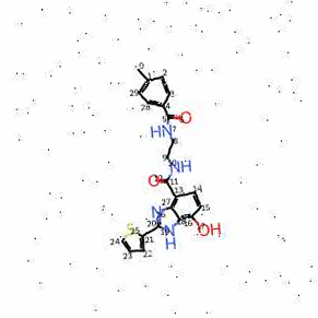 Cc1ccc(C(=O)NCCNC(=O)c2ccc(O)c3[nH]c(-c4cccs4)nc23)cc1